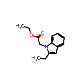 CCOC(=O)Cn1c(CC)cc2ccccc21